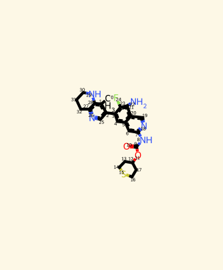 Cc1c(-c2cc3cc(NC(=O)OC4CCSCC4)ncc3c(N)c2F)cnc2c1NCCC2